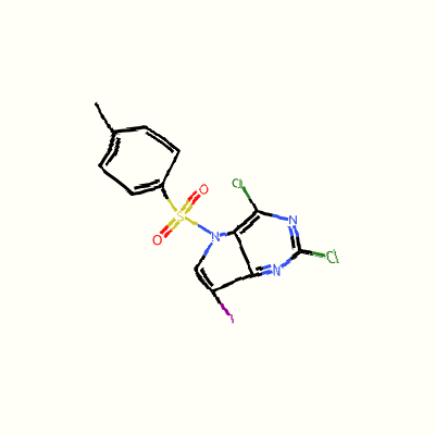 Cc1ccc(S(=O)(=O)n2cc(I)c3nc(Cl)nc(Cl)c32)cc1